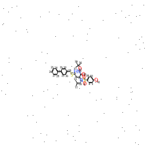 COc1ccc(S(=O)(=O)N(CC(C)C)C(CCSCc2ccc(-c3ccccc3)cc2)C(=O)NOC(C)(C)C)cc1